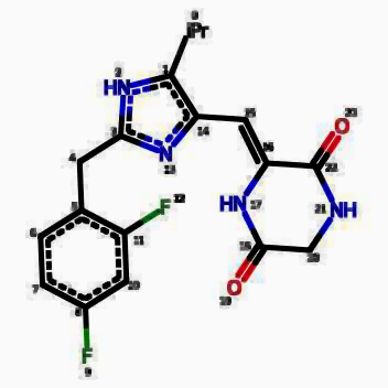 CC(C)c1[nH]c(Cc2ccc(F)cc2F)nc1C=C1NC(=O)CNC1=O